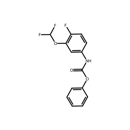 O=C(Nc1ccc(F)c(OC(F)F)c1)Oc1ccccc1